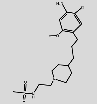 COc1cc(N)c(Cl)cc1CCCC1CCN(CCNS(C)(=O)=O)CC1